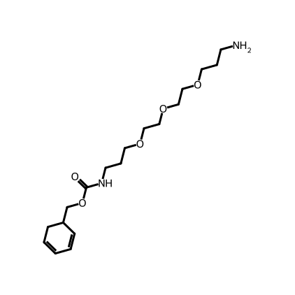 NCCCOCCOCCOCCCNC(=O)OCC1C=CC=CC1